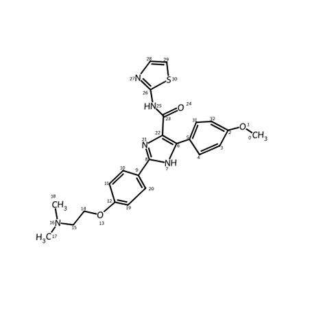 COc1ccc(-c2[nH]c(-c3ccc(OCCN(C)C)cc3)nc2C(=O)Nc2nccs2)cc1